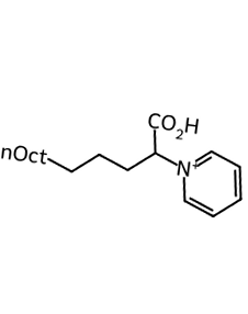 CCCCCCCCCCCC(C(=O)O)[n+]1ccccc1